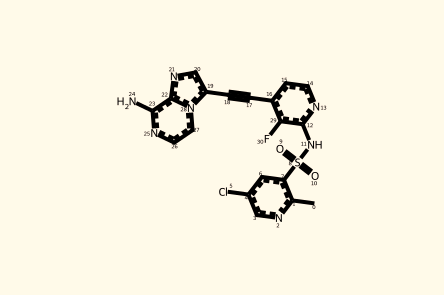 Cc1ncc(Cl)cc1S(=O)(=O)Nc1nccc(C#Cc2cnc3c(N)nccn23)c1F